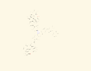 c1ccc(-c2cccc(-c3ccc(N(c4ccc(-c5ccc6c(c5)-c5ccccc5C65c6ccccc6Oc6ccccc65)cc4)c4ccc(-c5ccc6c(c5)C5(c7ccccc7Oc7ccccc75)c5ccccc5-6)cc4)cc3)c2)cc1